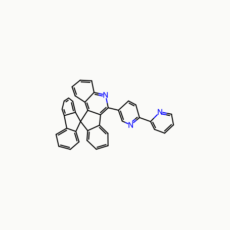 c1ccc(-c2ccc(-c3nc4ccccc4c4c3-c3ccccc3C43c4ccccc4-c4ccccc43)cn2)nc1